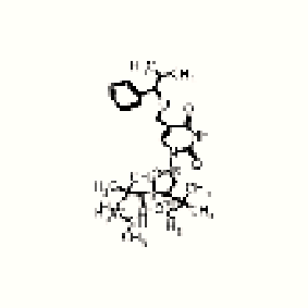 CC(C)C(OCc1cn([C@H]2C[C@@](O)(C(C)(C)C)[C@@H](C(O[SiH](C)C)C(C)(C)C)O2)c(=O)[nH]c1=O)c1ccccc1